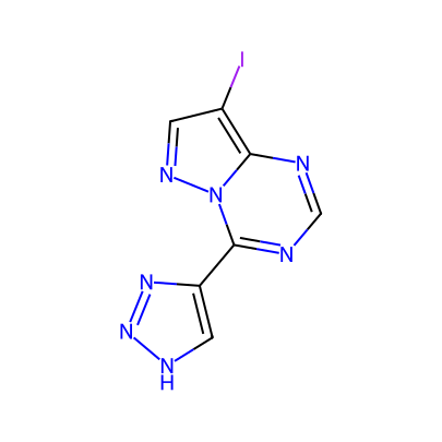 Ic1cnn2c(-c3c[nH]nn3)ncnc12